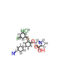 Cl.N#Cc1ccc(-c2ccc(OCCN3CCC[C@H]3C(=O)O)c(Sc3cccc(F)c3)c2)cc1